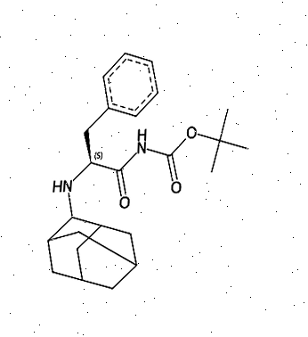 CC(C)(C)OC(=O)NC(=O)[C@H](Cc1ccccc1)NC1C2CC3CC(C2)CC1C3